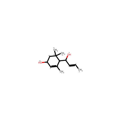 CC=CC(O)C1C(C)=CC(O)CC1(C)C